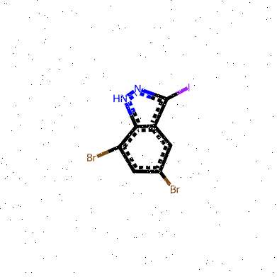 Brc1cc(Br)c2[nH]nc(I)c2c1